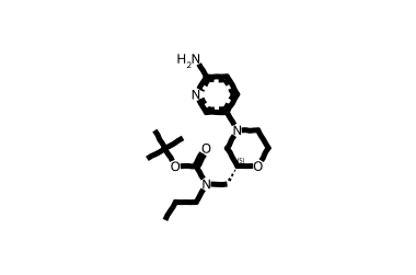 CCCN(C[C@@H]1CN(c2ccc(N)nc2)CCO1)C(=O)OC(C)(C)C